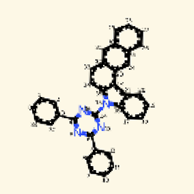 c1ccc(-c2nc(-c3ccccc3)nc(-n3c4ccccc4c4c5cc6ccccc6cc5ccc43)n2)cc1